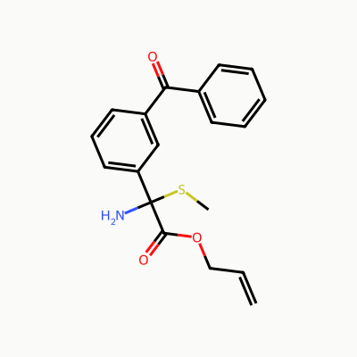 C=CCOC(=O)C(N)(SC)c1cccc(C(=O)c2ccccc2)c1